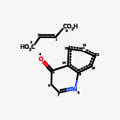 O=C(O)C=CC(=O)O.O=C1CC=Nc2ccccc21